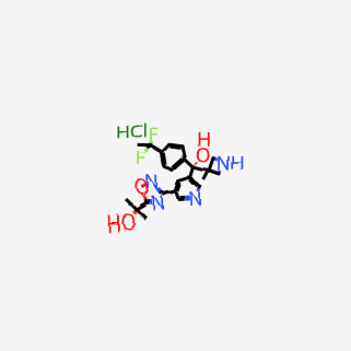 CC(C)(O)c1nc(-c2cncc([C@@](O)(c3ccc(C(C)(F)F)cc3)C3(C)CNC3)c2)no1.Cl